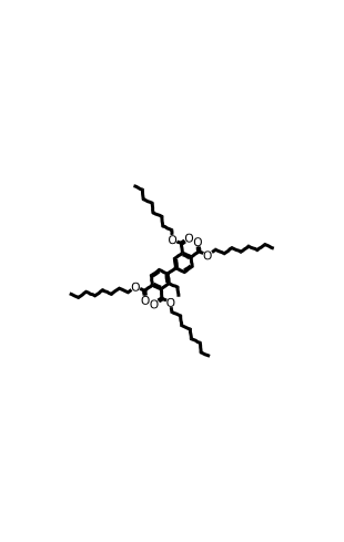 CCCCCCCCOC(=O)c1ccc(-c2ccc(C(=O)OCCCCCCCC)c(C(=O)OCCCCCCCC)c2CC)cc1C(=O)OCCCCCCCC